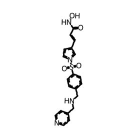 O=C(/C=C/c1ccn(S(=O)(=O)c2ccc(CNCc3ccncc3)cc2)c1)NO